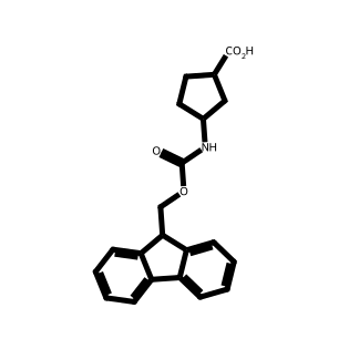 O=C(NC1CCC(C(=O)O)C1)OCC1c2ccccc2-c2ccccc21